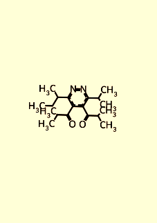 CCC(C)c1nnc(C(C)C)c(C(=O)C(C)C)c1C(=O)C(C)C